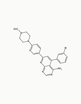 Nc1ncnc2nc(-c3ccc(N4CCN(C=O)CC4)nc3)cc(-c3cccc(Br)c3)c12